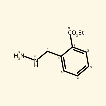 CCOC(=O)c1ccccc1CNN